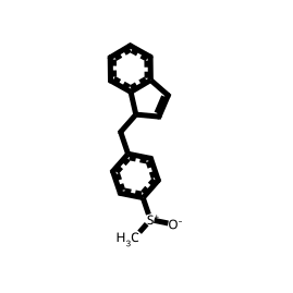 C[S+]([O-])c1ccc(CC2C=Cc3ccccc32)cc1